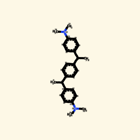 CC(c1ccc(C(C)c2ccc(N(C)C)cc2)cc1)c1ccc(N(C)C)cc1